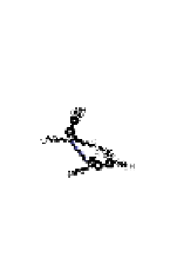 COCCOCCCN1/C(=C/C=C/C=C/C=C/C2=[N+](CCOCCOC)c3ccc(-c4ccc(SOOO)cc4)cc3C2(C)C)C(C)(CCCCCC(=O)NCCSS(C)(=O)=O)c2cc(-c3ccc(S(=O)(=O)O)cc3)ccc21